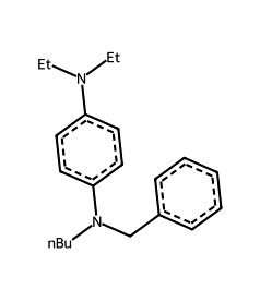 CCCCN(Cc1ccccc1)c1ccc(N(CC)CC)cc1